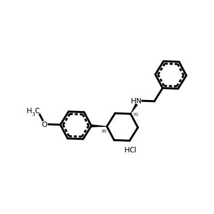 COc1ccc([C@@H]2CCC[C@H](NCc3ccccc3)C2)cc1.Cl